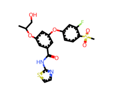 CC(CO)Oc1cc(Oc2ccc(S(C)(=O)=O)c(F)c2)cc(C(=O)Nc2nccs2)c1